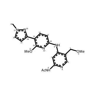 COCc1cnc(NC(C)=O)cc1Nc1ccc(-c2ccn(C)n2)c(OC)n1